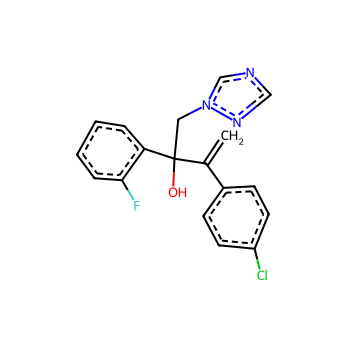 C=C(c1ccc(Cl)cc1)C(O)(Cn1cncn1)c1ccccc1F